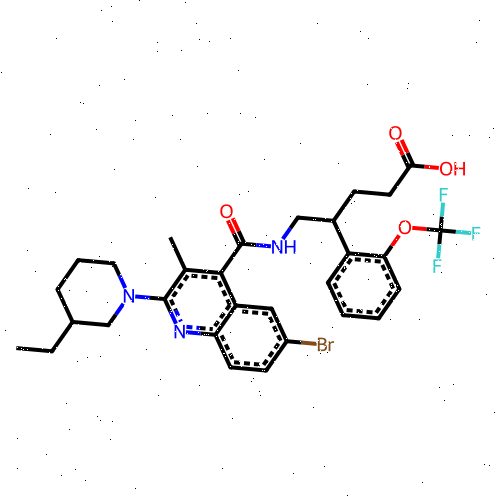 CCC1CCCN(c2nc3ccc(Br)cc3c(C(=O)NCC(CCC(=O)O)c3ccccc3OC(F)(F)F)c2C)C1